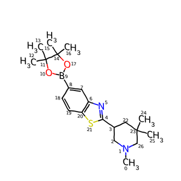 CN1CC(c2nc3cc(B4OC(C)(C)C(C)(C)O4)ccc3s2)CC(C)(C)C1